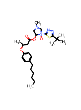 CCCCCCc1ccc(OC(C)CC(=O)OC2CN(C)C[N+]2([O-])c2nnc(C(C)(C)C)s2)cc1